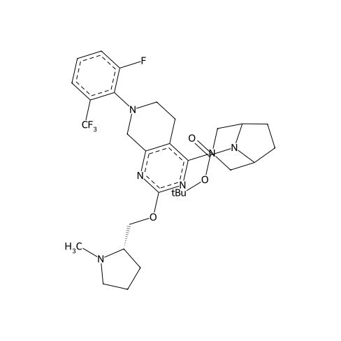 CN1CCC[C@H]1COc1nc2c(c(N3CC4CCC(C3)N4C(=O)OC(C)(C)C)n1)CCN(c1c(F)cccc1C(F)(F)F)C2